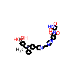 CC(/C(=C/c1ccc(C2CCN(CCCN3CCN(c4ccc5c(c4)C(=O)N(C4CCC(=O)NC4=O)C5=O)CC3)CC2)cc1)c1ccccc1)c1ccc(B(O)O)cc1